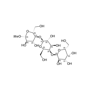 CO[C@@H]1O[C@H](CO)[C@@H](O[C@@H]2O[C@H](CO)[C@H](O[C@H]3O[C@H](CO)[C@H](O)[C@H](O)[C@H]3O)[C@H](O)[C@H]2O)[C@H](O)[C@H]1O